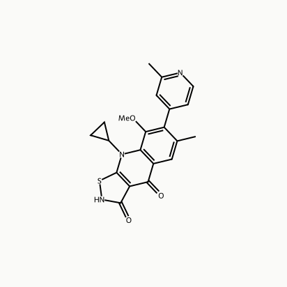 COc1c(-c2ccnc(C)c2)c(C)cc2c(=O)c3c(=O)[nH]sc3n(C3CC3)c12